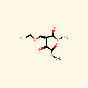 CCO/C=C(/C(=O)OC)C(=O)C(=O)OC